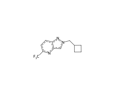 FC(F)(F)c1ccc2nn(CC3CCC3)cc2n1